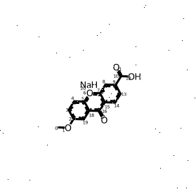 COc1ccc2oc3cc(C(=O)O)ccc3c(=O)c2c1.[NaH]